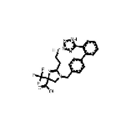 CCCC1=NC(C(=O)O)(C(F)(F)F)CN1Cc1ccc(-c2ccccc2-c2nnn[nH]2)cc1